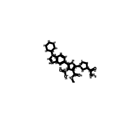 COC(=O)c1c(N2CCC(C(N)=O)C2)sc(-c2ccc3c(c2)ncn3C2CCCCC2)c1[N+](=O)[O-]